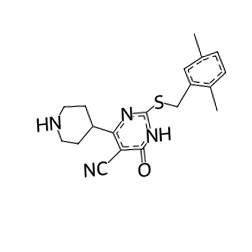 Cc1ccc(C)c(CSc2nc(C3CCNCC3)c(C#N)c(=O)[nH]2)c1